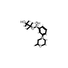 CC1CN(c2cccc(B(O)OC(C)(C)C(C)(C)O)c2)CCO1